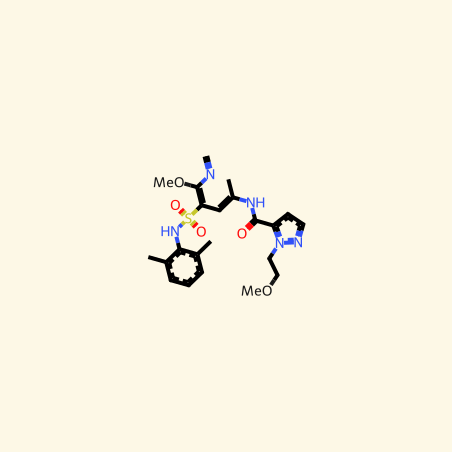 C=N/C(OC)=C(\C=C(/C)NC(=O)c1ccnn1CCOC)S(=O)(=O)Nc1c(C)cccc1C